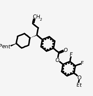 C=CCC(c1ccc(C(=O)Oc2ccc(OCC)c(F)c2F)cc1)[C@H]1CC[C@H](CCCCC)CC1